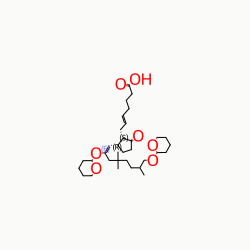 CC(CCC(C)(C)C/C(=C\[C@H]1CCC(=O)[C@H]1CC=CCCCC(=O)O)OC1CCCCO1)COC1CCCCO1